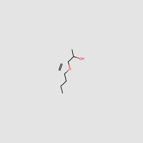 C=C.CCCCOCC(C)O